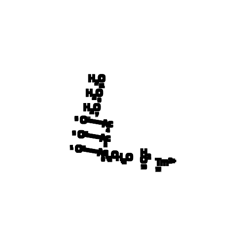 CC(=O)[O-].CC(=O)[O-].CC(=O)[O-].O.O.O.O.O.O.[Tm+3]